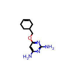 Nc1cc(OCC2CC=CCC2)nc(N)n1